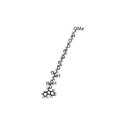 COCCOCCOCCOCCOCCOCCOCCOCCC(=O)NCCCNC(=O)OCC1c2ccccc2-c2ccccc21